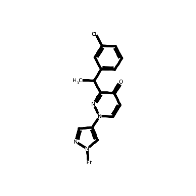 CCn1cc(-n2ccc(=O)c(C(C)c3cccc(Cl)c3)n2)cn1